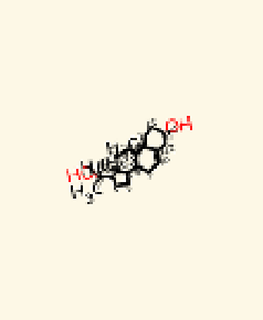 CCCCCC[C@](C)(O)C1CCC2C3CC=C4C[C@@H](O)CC[C@]4(C)C3CC[C@@]21C